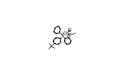 CCS(=O)(=O)OS(c1ccccc1)(c1ccccc1)c1ccc(C(C)(C)C)cc1